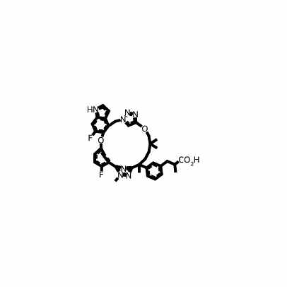 CC(Cc1cccc(C2(C)CCC(C)(C)COc3cn(nn3)Cc3c(c(F)cc4[nH]ccc34)Oc3ccc(F)c(c3)-c3nc2nn3C)c1)C(=O)O